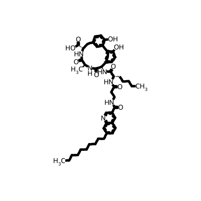 CCCCCCCCCCc1ccc2cc(C(=O)NCCC(=O)N[C@@H](CCCCC)C(=O)N[C@@H]3C(=O)N[C@@H](C)C(=O)N[C@H](C(=O)O)Cc4ccc(O)c(c4)-c4cc3ccc4O)cnc2c1